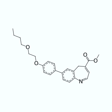 CCCCOCCOc1ccc(-c2ccc3c(c2)CC(C(=O)OC)=CC=N3)cc1